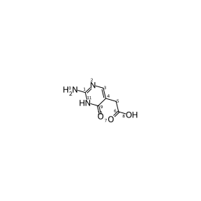 Nc1ncc(CC(=O)O)c(=O)[nH]1